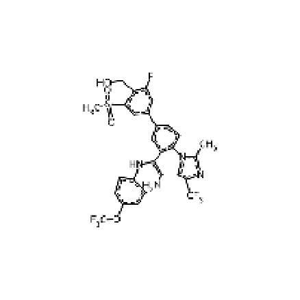 Cc1nc(C(F)(F)F)cn1-c1ccc(-c2cc(F)c(CO)c(S(C)(=O)=O)c2)cc1/C(=C/N)Nc1ccc(OC(F)(F)F)cc1